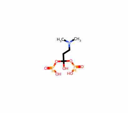 CN(C)CCC(O)(O[PH](=O)O)O[PH](=O)O